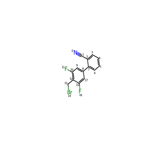 N#Cc1ccccc1-c1cc(F)c(CBr)c(F)c1